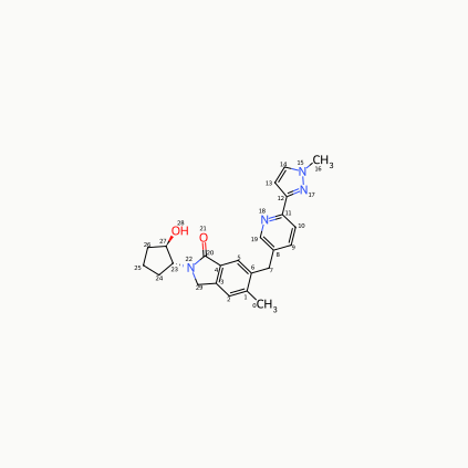 Cc1cc2c(cc1Cc1ccc(-c3ccn(C)n3)nc1)C(=O)N([C@@H]1CCC[C@H]1O)C2